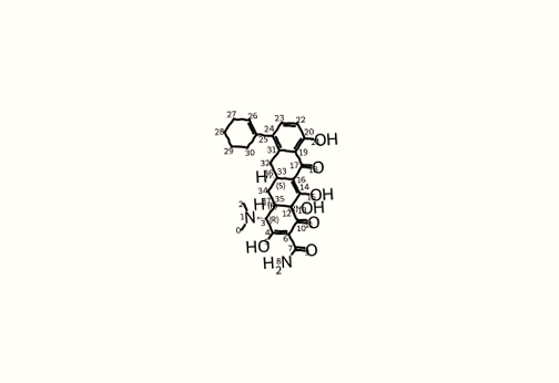 CN(C)[C@H]1C(O)=C(C(N)=O)C(=O)[C@]2(O)C(O)=C3C(=O)c4c(O)ccc(C5=CCCCC5)c4C[C@@H]3C[C@H]12